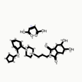 O=C(O)/C=C\C(=O)O.O=C1C2CC(O)C(O)CC2C(=O)N1CCCN1CCN(c2ccccc2OC2CCCC2)CC1